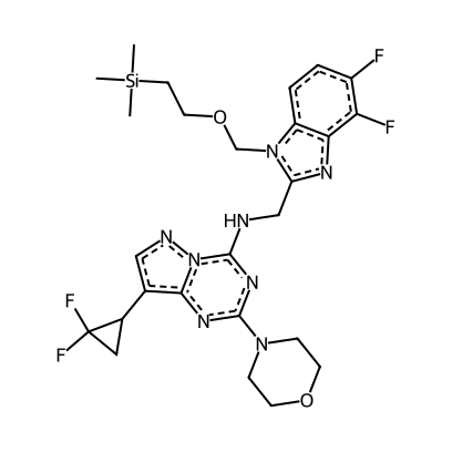 C[Si](C)(C)CCOCn1c(CNc2nc(N3CCOCC3)nc3c(C4CC4(F)F)cnn23)nc2c(F)c(F)ccc21